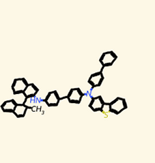 CC1C=Cc2ccccc2C1c1c(Nc2ccc(-c3ccc(N(c4ccc(-c5ccccc5)cc4)c4ccc5sc6ccccc6c5c4)cc3)cc2)ccc2ccccc12